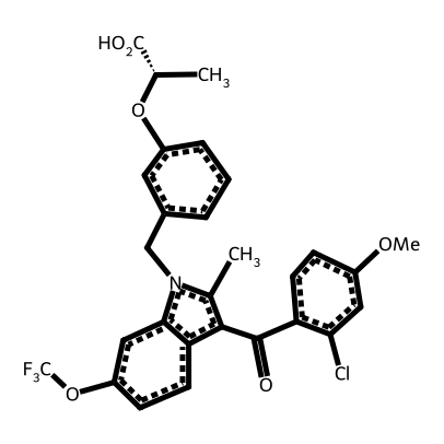 COc1ccc(C(=O)c2c(C)n(Cc3cccc(O[C@@H](C)C(=O)O)c3)c3cc(OC(F)(F)F)ccc23)c(Cl)c1